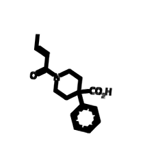 CC=CC(=O)N1CCC(C(=O)O)(c2ccccc2)CC1